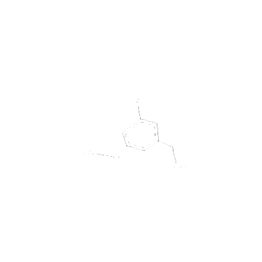 CCCCOc1cc(F)cc([CH]O)c1